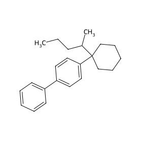 CCCC(C)C1(c2ccc(-c3ccccc3)cc2)CCCCC1